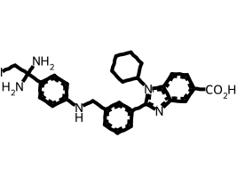 NC(N)(CI)c1ccc(NCc2cccc(-c3nc4cc(C(=O)O)ccc4n3C3CCCCC3)c2)cc1